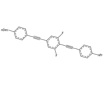 CCCCCCCCCCc1ccc(C#Cc2cc(F)c(C#Cc3ccc(CCC)cc3)c(F)c2)cc1